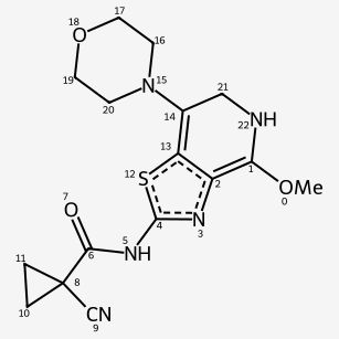 COC1=c2nc(NC(=O)C3(C#N)CC3)sc2=C(N2CCOCC2)CN1